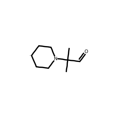 CC(C)(C=O)N1CC[CH]CC1